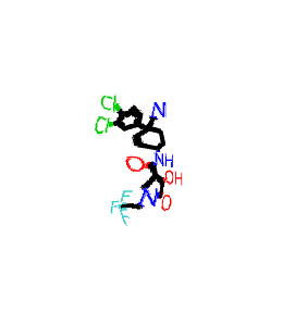 N#CC1(c2ccc(Cl)c(Cl)c2)CCC(NC(=O)C2=C(O)C(=O)N(CC(F)(F)F)C2)CC1